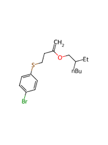 C=C(CCSc1ccc(Br)cc1)OCC(CC)CCCC